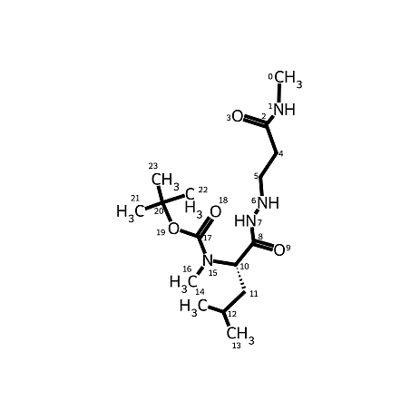 CNC(=O)CCNNC(=O)[C@H](CC(C)C)N(C)C(=O)OC(C)(C)C